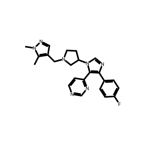 Cc1c(CN2CCC(n3cnc(-c4ccc(F)cc4)c3-c3ccncn3)C2)cnn1C